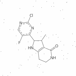 CC1C2=C(CCNC2=O)NC1c1nc(Cl)ncc1F